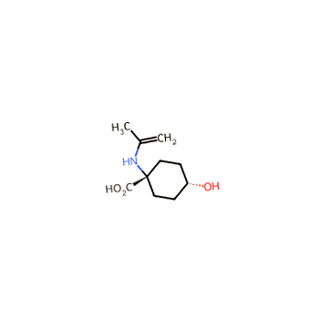 C=C(C)N[C@]1(C(=O)O)CC[C@H](O)CC1